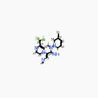 C=N/C=C(/C(=N)N(C)N1CC=CC(C)C1)N1C=C(C(F)F)N=CC1